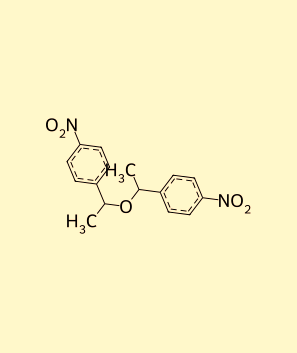 CC(OC(C)c1ccc([N+](=O)[O-])cc1)c1ccc([N+](=O)[O-])cc1